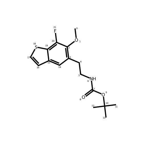 COc1c(CCNC(=O)OC(C)(C)C)cc2ccsc2c1F